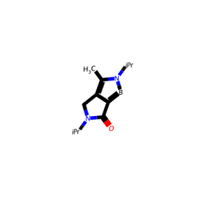 Cc1c2c(bn1C(C)C)C(=O)N(C(C)C)C2